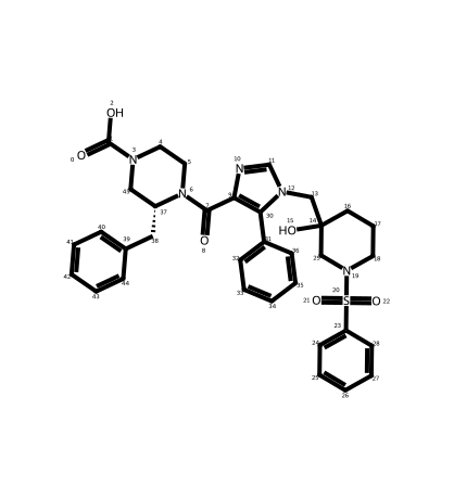 O=C(O)N1CCN(C(=O)c2ncn(CC3(O)CCCN(S(=O)(=O)c4ccccc4)C3)c2-c2ccccc2)[C@H](Cc2ccccc2)C1